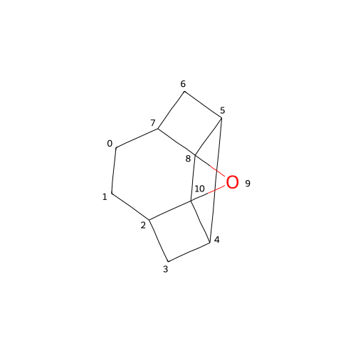 C1CC2CC3C4CC1C41OC231